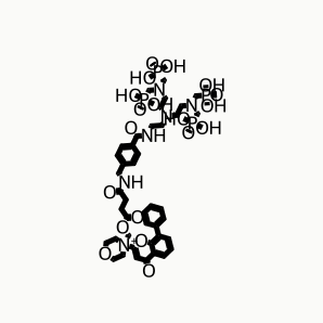 O=C(CCC(=O)OC[N+]1(c2cc(=O)c3cccc(-c4ccccc4)c3o2)CCOCC1)NCc1ccc(C(=O)NCCN(CCN(CP(=O)(O)O)CP(=O)(O)O)CCN(CP(=O)(O)O)CP(=O)(O)O)cc1